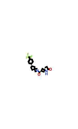 O=C1CC[C@]2(C[C@H](C(=O)N3CC4(CC[C@H](c5ccc(C(F)(F)F)cc5)C4)C3)C2)N1